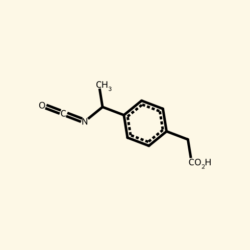 CC(N=C=O)c1ccc(CC(=O)O)cc1